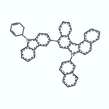 C1=CCC(n2c3ccccc3c3cc(-c4cc5c(c6ccccc46)c4c6ccccc6ccc4n5-c4ccc5ccccc5c4)ccc32)C=C1